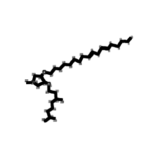 CCCCCC=CCC=CCCCCCCCCOC1CN(C)CC1OCCC(C)CCCC(C)C